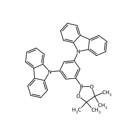 CC1(C)OB(c2cc(-n3c4ccccc4c4ccccc43)cc(-n3c4ccccc4c4ccccc43)c2)OC1(C)C